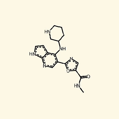 CNC(=O)c1cnc(-c2cnc3[nH]ccc3c2NC2CCCNC2)o1